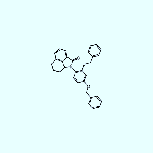 O=C1c2cccc3c2C(CCC3)N1c1ccc(OCc2ccccc2)nc1OCc1ccccc1